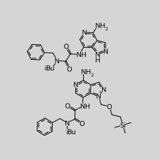 CCC(C)N(Cc1ccccc1)C(=O)C(=O)Nc1cnc(N)c2cn[nH]c12.CCC(C)N(Cc1ccccc1)C(=O)C(=O)Nc1cnc(N)c2cnn(COCC[Si](C)(C)C)c12